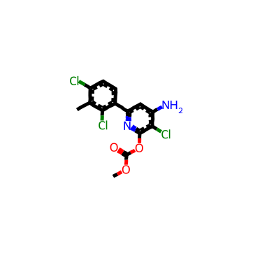 COC(=O)Oc1nc(-c2ccc(Cl)c(C)c2Cl)cc(N)c1Cl